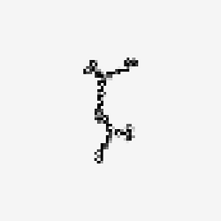 c1ccc2cc(-c3ccc(-c4ccc(N(c5ccc(-c6ccc7c(c6)oc6ccc(-c8ccc(-c9ccc(-c%10ccc(N(c%11ccc(-c%12ccc(-c%13ccc%14c(c%13)oc%13ccccc%13%14)cc%12)cc%11)c%11ccc(-n%12c%13ccccc%13c%13ccccc%13%12)cc%11)cc%10)cc9)cc8)cc67)cc5)c5ccc(-n6c7ccccc7c7ccccc76)cc5)cc4)cc3)ccc2c1